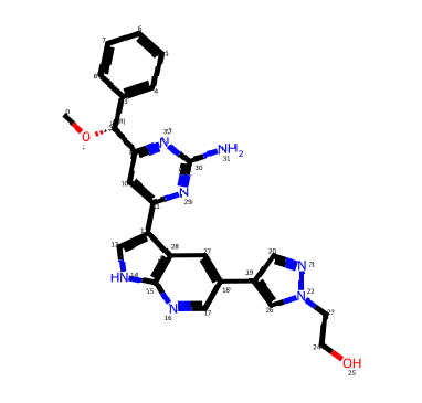 CO[C@H](c1ccccc1)c1cc(-c2c[nH]c3ncc(-c4cnn(CCO)c4)cc23)nc(N)n1